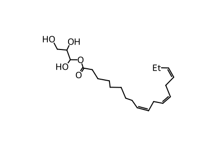 CC/C=C\C/C=C\C/C=C\CCCCCCCC(=O)OC(O)C(O)CO